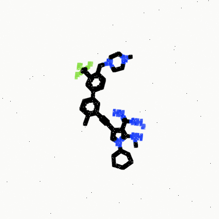 CNc1c(C(=N)N)c(C#Cc2cc(-c3ccc(CN4CCN(C)CC4)c(C(F)(F)F)c3)ccc2C)cn1C1CCCCC1